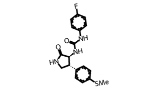 CSc1ccc([C@@H]2CNC(=O)[C@H]2NC(=O)Nc2ccc(F)cc2)cc1